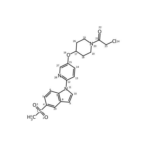 CS(=O)(=O)c1ccc2c(ccn2-c2ccc(OC3CCN(C(=O)CCl)CC3)cn2)c1